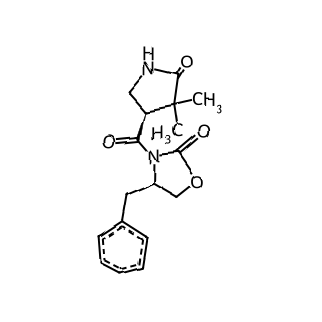 CC1(C)C(=O)NC[C@@H]1C(=O)N1C(=O)OCC1Cc1ccccc1